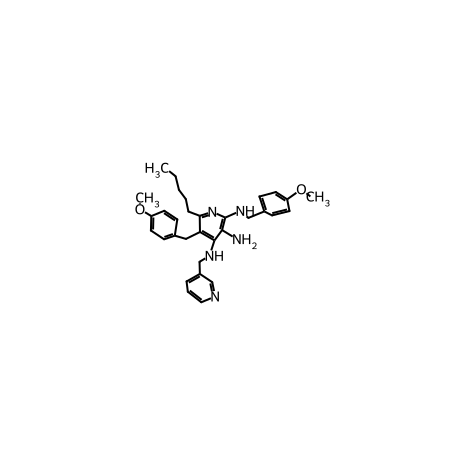 CCCCCc1nc(NCc2ccc(OC)cc2)c(N)c(NCc2cccnc2)c1Cc1ccc(OC)cc1